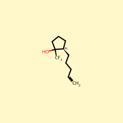 C=CCCC[C@@H]1CCCC1(O)C(F)(F)F